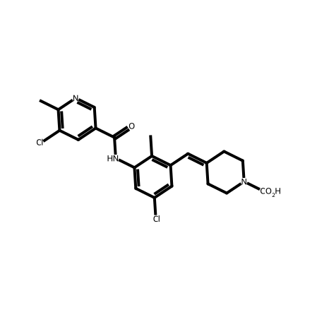 Cc1ncc(C(=O)Nc2cc(Cl)cc(C=C3CCN(C(=O)O)CC3)c2C)cc1Cl